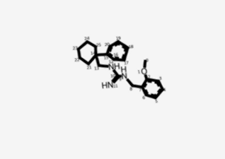 COc1ccccc1CNC(=N)NCC1(c2ccccc2)CCCCC1